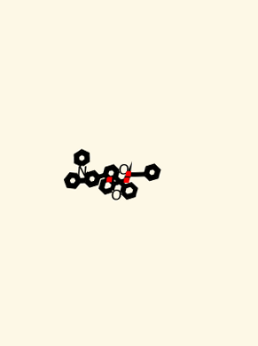 C1=CCC2C(=C1)OC1=C(CCC=C1)C21C2=C(C=C(c3ccccc3)CC2)Oc2ccc(-c3ccc4c5ccccc5n(-c5ccccc5)c4c3)cc21